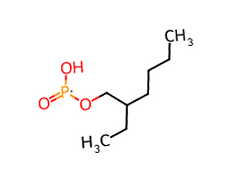 CCCCC(CC)CO[P](=O)O